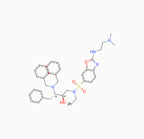 CC(C)CN(C[C@@H](O)[C@H](Cc1ccccc1)N(Cc1ccccc1)Cc1ccccc1)S(=O)(=O)c1ccc2nc(NCCN(C)C)oc2c1